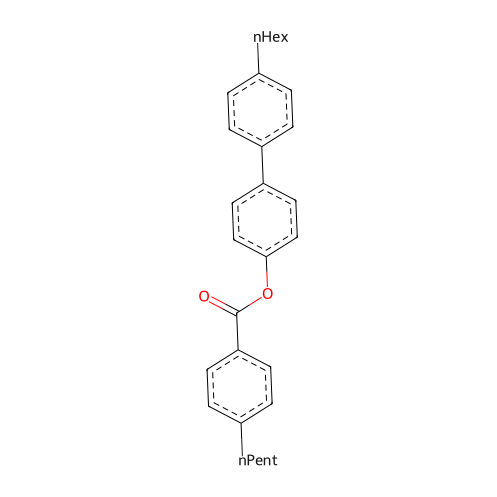 CCCCCCc1ccc(-c2ccc(OC(=O)c3ccc(CCCCC)cc3)cc2)cc1